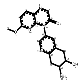 COc1ccc2ncc(=O)n(-c3cnc4c(c3)CC(O)C(N)C4)c2n1